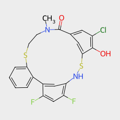 CN1CCSc2ccccc2-c2cc(c(F)cc2F)NSc2cc(cc(Cl)c2O)C1=O